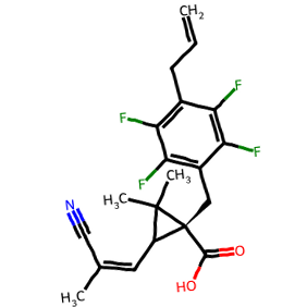 C=CCc1c(F)c(F)c(C[C@@]2(C(=O)O)C(/C=C(/C)C#N)C2(C)C)c(F)c1F